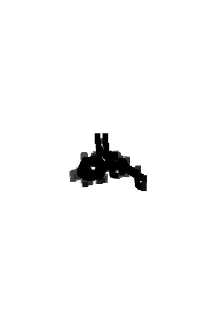 [O-][N+]1(CCCCl)CNc2ccccc21